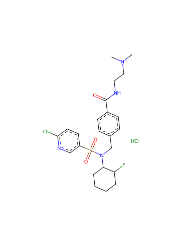 CN(C)CCNC(=O)c1ccc(CN(C2CCCCC2F)S(=O)(=O)c2ccc(Cl)nc2)cc1.Cl